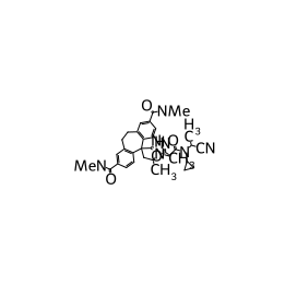 CNC(=O)c1ccc2c(c1)CCc1cc(C(=O)NC)ccc1C2(C[C@H](C)NCC(=O)N(C(C)C#N)C1CC1)c1nnc(C)o1